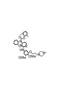 COc1cc(Nc2nccc(N(C(=O)Oc3c(C)cccc3C)c3ccccc3Cl)n2)cc(OCCCN2CCN(C)CC2)c1OC